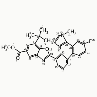 COC(=O)c1cc(C(C)(C)C)c2oc(-c3cccc(-c4ccc(F)cc4-c4nncn4C)c3)nc2c1